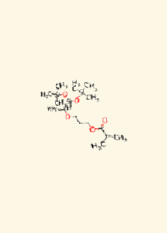 C=C(C)C(=O)OCCCOC(CCC)[SiH](O[Si](C)(C)C)O[Si](C)(C)C